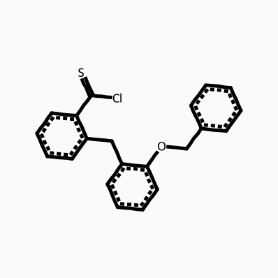 S=C(Cl)c1ccccc1Cc1ccccc1OCc1ccccc1